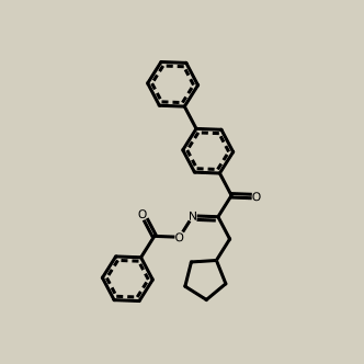 O=C(ON=C(CC1CCCC1)C(=O)c1ccc(-c2ccccc2)cc1)c1ccccc1